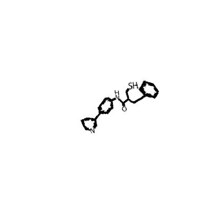 O=C(Nc1ccc(-c2cccnc2)cc1)C(CS)Cc1ccccc1